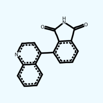 O=C1NC(=O)c2c1cccc2-c1ccnc2ccccc12